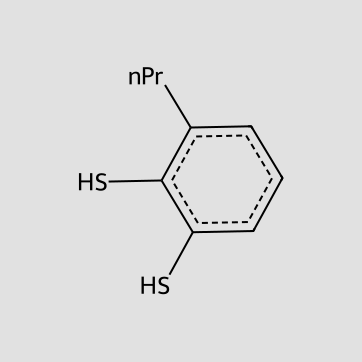 CCCc1cccc(S)c1S